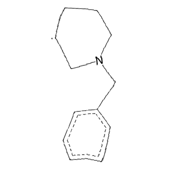 [CH]1CCCN(Cc2ccccc2)C1